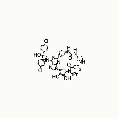 CCCN(C(=O)C(F)(F)F)[C@H]1C[C@@H](n2cnc3c(NCC(O)(c4ccc(Cl)cc4)c4ccc(Cl)cc4)nc(N4CC[C@@H](NC(=O)NC5CCNC5)C4)nc32)[C@H](O)[C@@H]1O